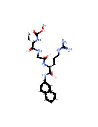 CC(C)C[C@H](NC(=O)OC(C)(C)C)C(=O)NCC(=O)N[C@@H](CCCNC(=N)N)C(=O)Nc1ccc2ccccc2c1